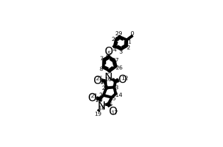 Cc1ccc(Oc2ccc(N3C(=O)C4CC5C(=O)N(C)C(=O)C5C4C3=O)cc2)cc1